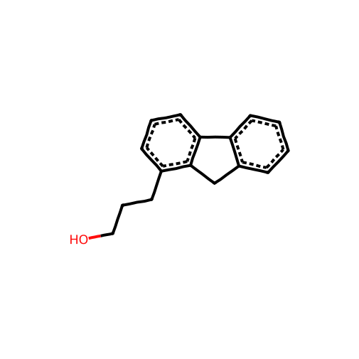 OCCCc1cccc2c1Cc1ccccc1-2